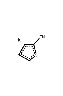 N#Cc1cccs1.[K]